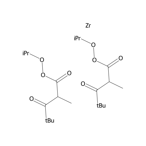 CC(C)OOC(=O)C(C)C(=O)C(C)(C)C.CC(C)OOC(=O)C(C)C(=O)C(C)(C)C.[Zr]